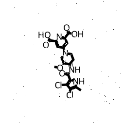 CO[C@H]1CN(c2cc(C(=O)O)nc(C(=O)O)c2)CC[C@H]1NC(=O)c1[nH]c(C)c(Cl)c1Cl